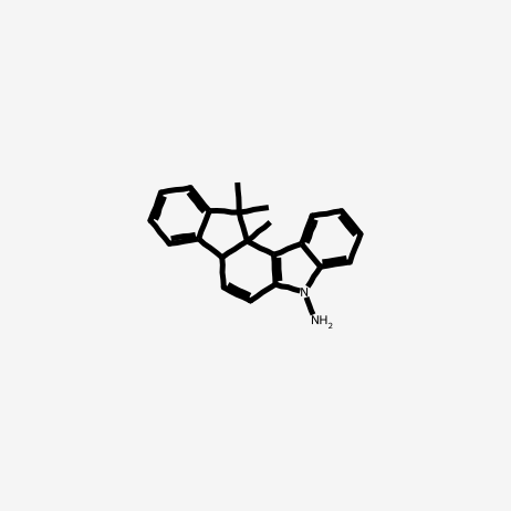 CC1(C)c2ccccc2C2C=Cc3c(c4ccccc4n3N)C21C